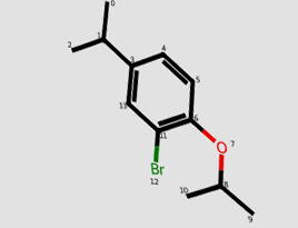 C[C](C)c1ccc(OC(C)C)c(Br)c1